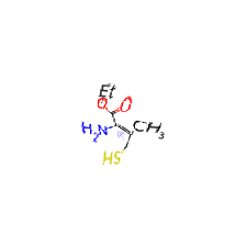 CCOC(=O)/C(N)=C(\C)CS